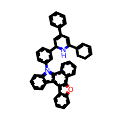 C1=CCCC(C2=CC(c3ccccc3)=CC(c3cccc(-n4c5ccccc5c5c6c7ccccc7oc6c6ccccc6c54)c3)N2)=C1